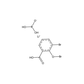 O=C(O)c1cccc(Br)c1OBr.[Li+].[O-]B(O)O